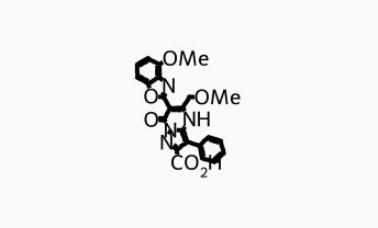 COCc1[nH]c2c(-c3ccccc3)c(C(=O)O)nn2c(=O)c1-c1nc2c(OC)cccc2o1